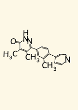 Cc1cc(-c2n[nH]c(=O)c(C)c2C)ccc1-c1ccncc1